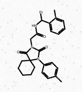 CCC(NC(=O)CN1C(=O)N(c2ccc(C)cc2)C2(CCCCC2)C1=O)c1ccccc1C